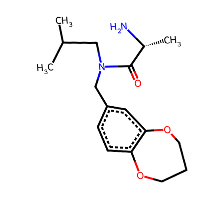 CC(C)CN(Cc1ccc2c(c1)OCCCO2)C(=O)[C@@H](C)N